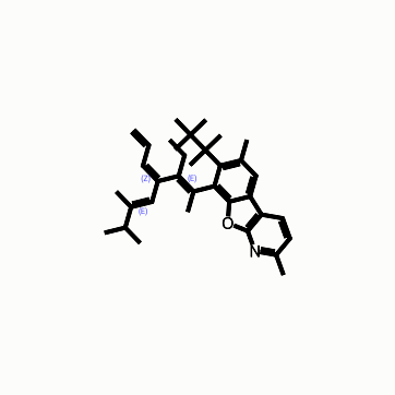 C=C/C=C(/C=C(\C)C(C)C)C(\CC)=C(/C)c1c(C(C)(C)C(C)(C)C)c(C)cc2c1oc1nc(C)ccc12